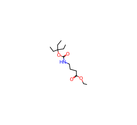 CCOC(=O)CCCNC(=O)OC(CC)(CC)CC